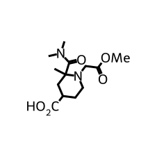 COC(=O)CN1CCC(C(=O)O)CC1(C)C(=O)N(C)C